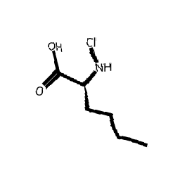 CCCC[C@H](NCl)C(=O)O